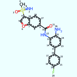 CS(=N)(=O)c1coc2cc(C(=O)Nc3cc(-c4ccc(F)cc4)ccc3N)ccc12